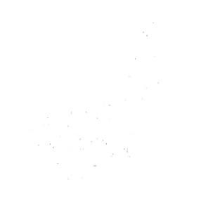 OC(CCCc1ccc(-c2ncco2)cc1)(c1ccc(-c2ncco2)cc1)c1cncn1Cc1ccccc1